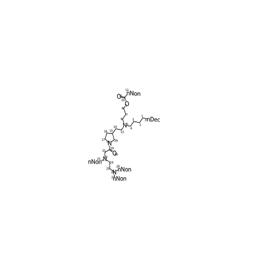 CCCCCCCCCCCCCCN(CCCOC(=O)CCCCCCCCC)CCC1CCN(C(=O)CN(CCCCCCCCC)CCN(CCCCCCCCC)CCCCCCCCC)C1